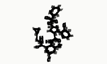 O=C(NCC1CC1)c1cc(Cl)cc(Br)c1NC(=O)C1CC(OS(=O)(=O)c2ccccn2)=NN1c1ncccc1Cl